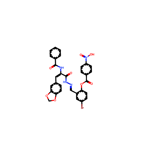 O=C(N/N=C/c1cc(Br)ccc1OC(=O)c1ccc([N+](=O)O)cc1)/C(=C\c1ccc2c(c1)OCO2)NC(=O)c1ccccc1